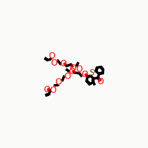 C=CC(=O)OCCOCCOC(C)OCC(COc1ccc(C)c2c(=O)c3ccccc3sc12)OC(C)OCCOCCOC(=O)C=C